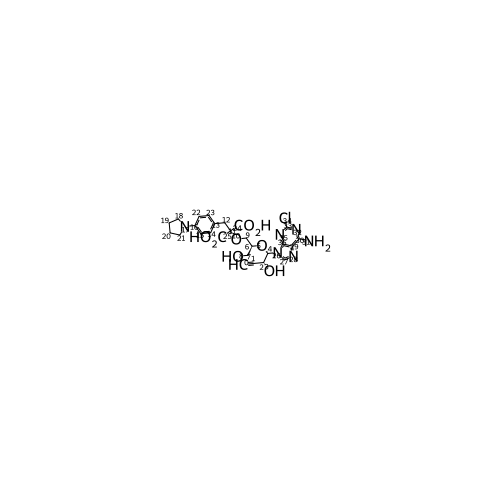 C#C[C@@H](O)[C@@H](O[C@@H](CO)COC(Cc1ccc(N2CCCC2)cc1)(C(=O)O)C(=O)O)n1cnc2c(N)nc(Cl)nc21